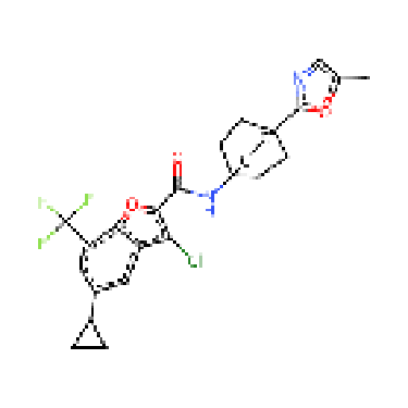 Cc1cnc(C23CCC(NC(=O)c4oc5c(C(F)(F)F)cc(C6CC6)cc5c4Cl)(CC2)CC3)o1